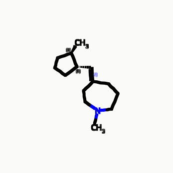 C[C@@H]1CCC[C@H]1/C=C1/CCCN(C)CC1